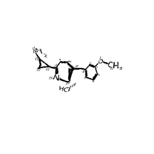 COc1cccc(-c2ccc(C3CC3N)nc2)c1.Cl